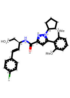 COc1cccc(OC)c1-c1cc(C(=O)N[C@@H](/C=C/c2ccc(F)cc2)CC(=O)O)nn1C1CCCC1